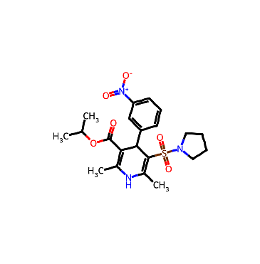 CC1=C(C(=O)OC(C)C)C(c2cccc([N+](=O)[O-])c2)C(S(=O)(=O)N2CCCC2)=C(C)N1